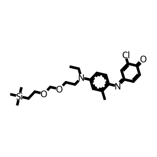 CCN(CCOCOCC[Si](C)(C)C)c1ccc(N=C2C=CC(=O)C(Cl)=C2)c(C)c1